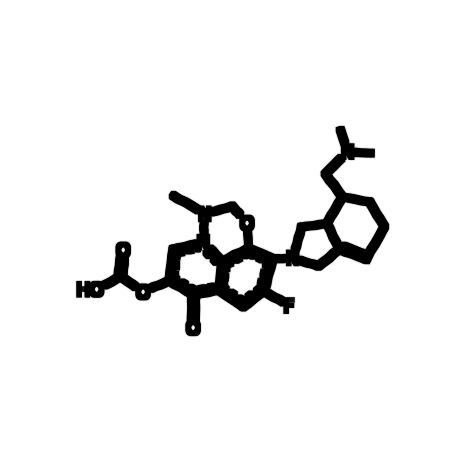 CN(C)CC1CCC=C2CN(c3c(F)cc4c(=O)c(OC(=O)O)cn5c4c3OCN5C)CC21